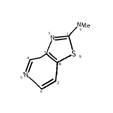 CNc1nc2cnccc2s1